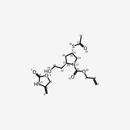 C=C1COC(=O)N1.C=CCOC(=O)N1C[C@@H](SC(C)=O)C[C@@H]1CCO